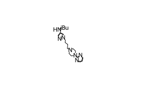 CCC(C)Nc1cnn(CCCCN2CCN(c3ncccn3)CC2)c1